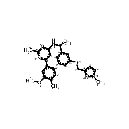 COc1cc(-c2cc(NC(C)c3cccc(OCc4ccn(C)n4)c3)nc(C)n2)ccc1C